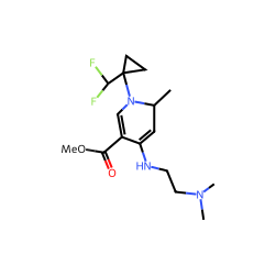 COC(=O)C1=CN(C2(C(F)F)CC2)C(C)C=C1NCCN(C)C